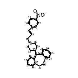 O=[N+]([O-])c1ccc(C=CCN2CCC(=C3c4ccccc4CSc4ccccc43)CC2)cc1